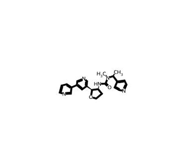 C[C@@H](c1ccncc1)N(C)C(=O)N[C@@H]1CCO[C@H]1c1cncc(-c2cccnc2)c1